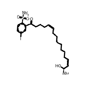 CCCC[C@@H](O)/C=C\CCCCCCC/C=C\CCCC(=O)c1cc(I)ccc1S(N)(=O)=O